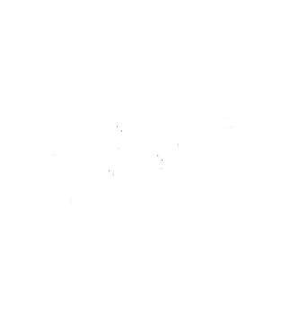 Cc1ccoc1-c1ccnc(NC(C)(C)C)n1